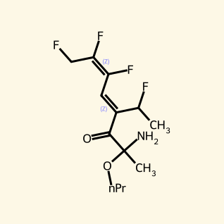 CCCOC(C)(N)C(=O)/C(=C/C(F)=C(/F)CF)C(C)F